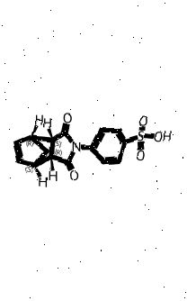 O=C1[C@@H]2[C@H](C(=O)N1c1ccc(S(=O)(=O)O)cc1)[C@@H]1C=C[C@H]2C1